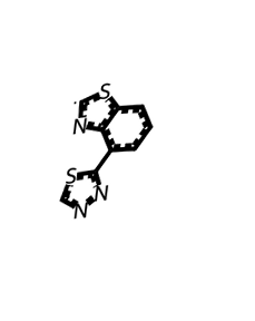 [c]1nc2c(-c3nncs3)cccc2s1